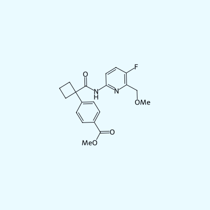 COCc1nc(NC(=O)C2(c3ccc(C(=O)OC)cc3)CCC2)ccc1F